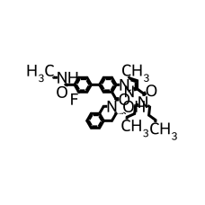 CCCCN(CCCC)C(=O)c1cc(C)n(-c2ccc(-c3ccc(C(=O)NCC)c(F)c3)cc2C(=O)N2Cc3ccccc3C[C@H]2CO)n1